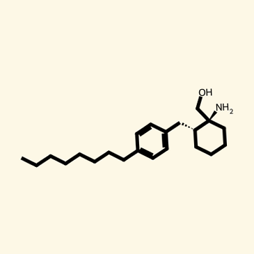 CCCCCCCCc1ccc(C[C@H]2CCCC[C@@]2(N)CO)cc1